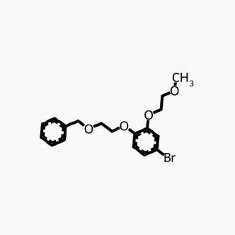 COCCOc1cc(Br)ccc1OCCOCc1ccccc1